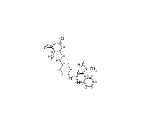 CN(C)c1nc(NC2CCC(NCc3cc(Cl)cc(Cl)c3O)CC2)nc2ccccc12